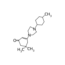 CC1CCC(N2CCN(C3=CC(=O)CC(C)(C)C3)CC2)CC1